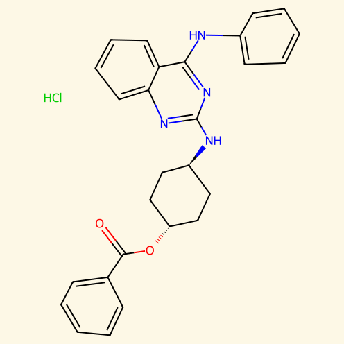 Cl.O=C(O[C@H]1CC[C@H](Nc2nc(Nc3ccccc3)c3ccccc3n2)CC1)c1ccccc1